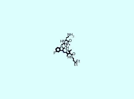 CCN(CC)CCNC(=O)c1c(C)[nH]c(/C=C2\C(=O)N(CC(=O)N[C@@H](CCN)C(=O)PC)c3ccc(F)cc32)c1C